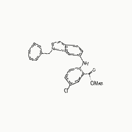 COC(=O)c1cc(Cl)ccc1Nc1ccc2ccn(Cc3ccccc3)c2c1